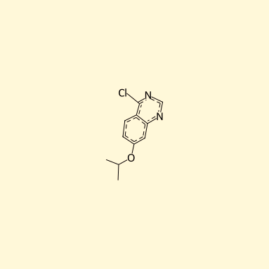 CC(C)Oc1ccc2c(Cl)ncnc2c1